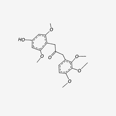 COc1cc(O)cc(OC)c1CC(=O)Cc1ccc(OC)c(OC)c1OC